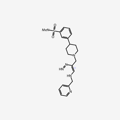 CNS(=O)(=O)c1cccc(C2CCN(C/C(=C/NCc3ccccn3)N=N)CC2)c1